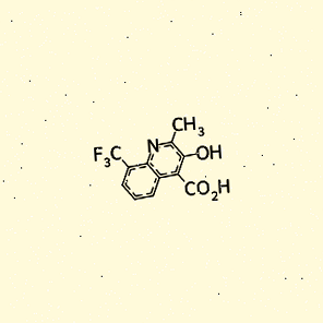 Cc1nc2c(C(F)(F)F)cccc2c(C(=O)O)c1O